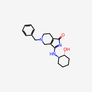 O=C1N=C(N[C@@H]2CCCC[C@H]2O)C2=C1CCN(Cc1ccccc1)C2